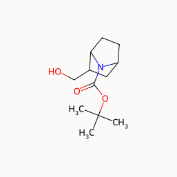 CC(C)(C)OC(=O)N1C2CCC1C(CO)C2